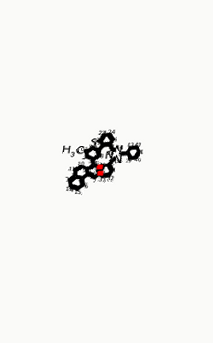 Cc1cc(-c2cccc3c2ccc2ccccc23)cc2c1sc1cccc(-c3nc(-c4ccccc4)nc(-c4ccccc4)n3)c12